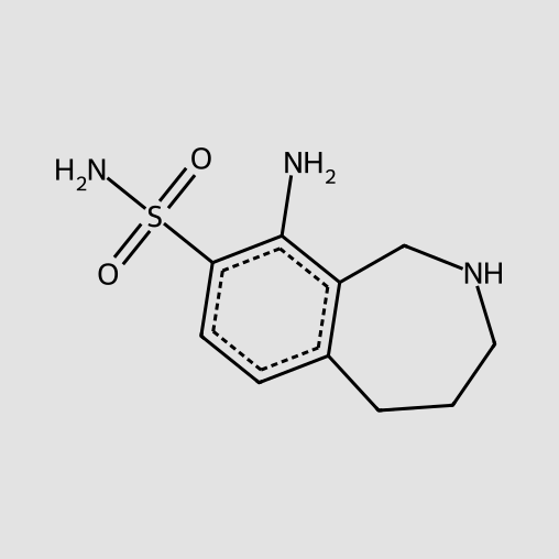 Nc1c(S(N)(=O)=O)ccc2c1CNCCC2